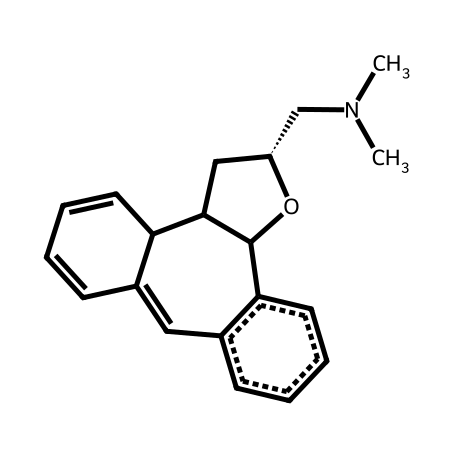 CN(C)C[C@H]1CC2C3C=CC=CC3=Cc3ccccc3C2O1